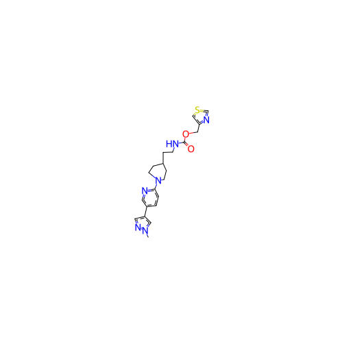 Cn1cc(-c2ccc(N3CCC(CCNC(=O)OCc4cscn4)CC3)nc2)cn1